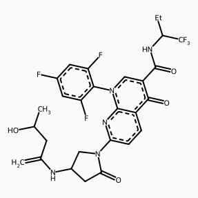 C=C(CC(C)O)NC1CC(=O)N(c2ccc3c(=O)c(C(=O)NC(CC)C(F)(F)F)cn(-c4c(F)cc(F)cc4F)c3n2)C1